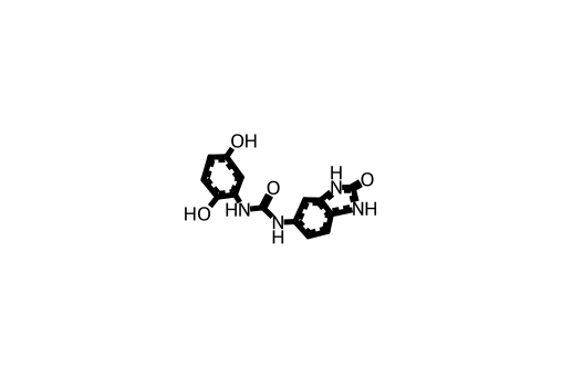 O=C(Nc1ccc2[nH]c(=O)[nH]c2c1)Nc1cc(O)ccc1O